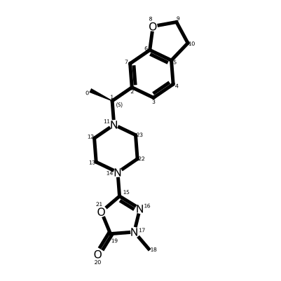 C[C@@H](c1ccc2c(c1)OCC2)N1CCN(c2nn(C)c(=O)o2)CC1